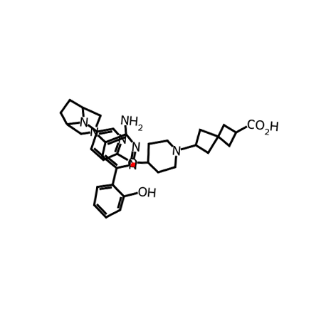 Nc1nnc(-c2ccccc2O)cc1N1CC2CCC(C1)N2c1ccc(OC2CCN(C3CC4(CC(C(=O)O)C4)C3)CC2)nc1